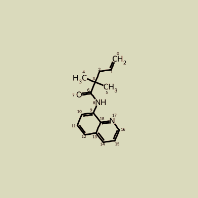 C=CCC(C)(C)C(=O)Nc1cccc2cccnc12